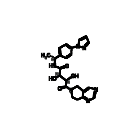 C[C@@H](NC(=O)[C@H](O)[C@@H](O)C(=O)N1CCc2ncncc2C1)c1ccc(-n2cccn2)cc1